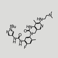 Cc1cc(F)c(NC(=O)Nc2cnn(C(C)(C)C)c2)cc1N1Cc2cnc(NCCN(C)C)c(C)c2NC1=O